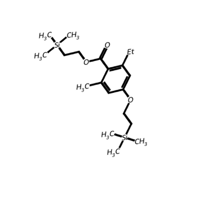 CCc1cc(OCC[Si](C)(C)C)cc(C)c1C(=O)OCC[Si](C)(C)C